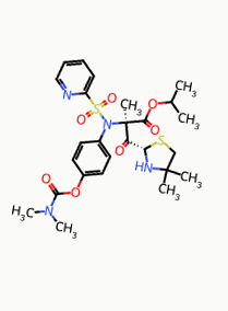 CC(C)OC(=O)[C@@](C)(C(=O)[C@H]1NC(C)(C)CS1)N(c1ccc(OC(=O)N(C)C)cc1)S(=O)(=O)c1ccccn1